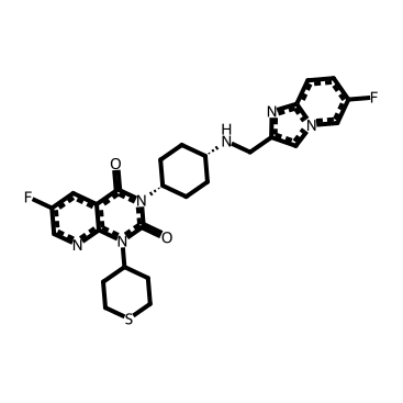 O=c1c2cc(F)cnc2n(C2CCSCC2)c(=O)n1[C@H]1CC[C@@H](NCc2cn3cc(F)ccc3n2)CC1